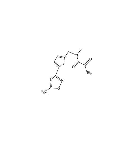 CN(Cc1ccc(-c2noc(C(F)(F)F)n2)s1)C(=O)C(N)=O